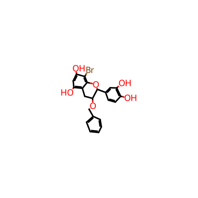 Oc1ccc(C2Oc3c(Br)c(O)cc(O)c3CC2OCc2ccccc2)cc1O